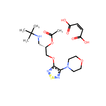 CC(=O)O[C@@H](CNC(C)(C)C)COc1nsnc1N1CCOCC1.O=C(O)/C=C\C(=O)O